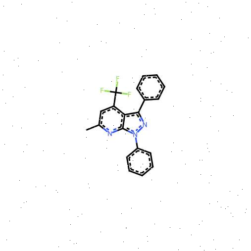 Cc1cc(C(F)(F)F)c2c(-c3ccccc3)nn(-c3ccccc3)c2n1